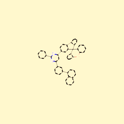 c1ccc(-c2nc(-c3cccc(-c4cccc5ccccc45)c3)cc(-c3ccc4c(c3)C3(c5ccccc5Oc5ccccc53)c3ccccc3-4)n2)cc1